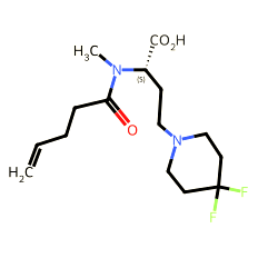 C=CCCC(=O)N(C)[C@@H](CCN1CCC(F)(F)CC1)C(=O)O